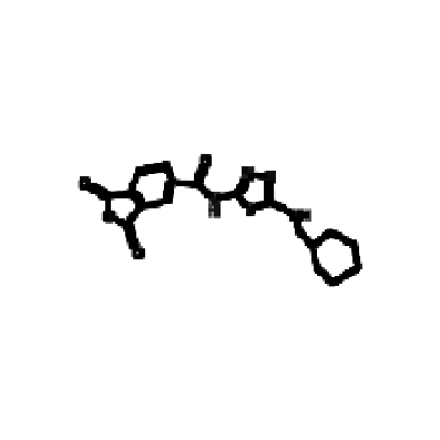 O=C(Nc1nnc(NCC2CCCCC2)s1)c1ccc2c(c1)C(=O)OC2=O